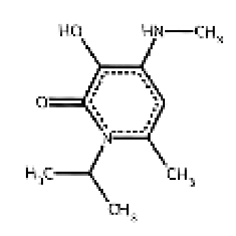 CNc1cc(C)n(C(C)C)c(=O)c1O